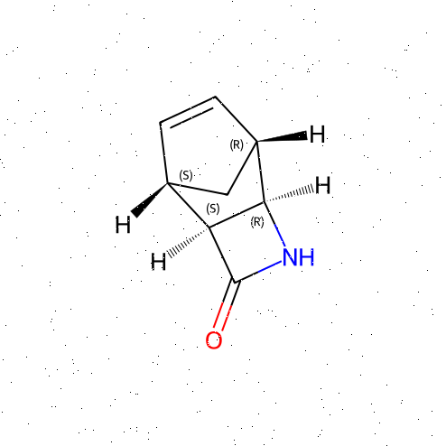 O=C1N[C@H]2[C@@H]1[C@@H]1C=C[C@H]2C1